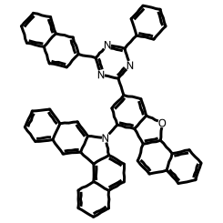 c1ccc(-c2nc(-c3ccc4ccccc4c3)nc(-c3cc(-n4c5cc6ccccc6cc5c5c6ccccc6ccc54)c4c(c3)oc3c5ccccc5ccc34)n2)cc1